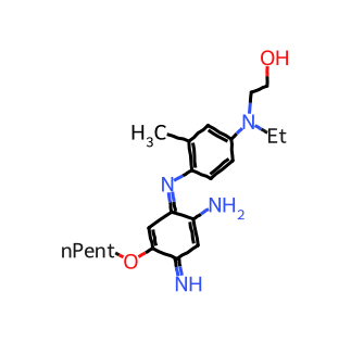 CCCCCOC1=CC(=Nc2ccc(N(CC)CCO)cc2C)C(N)=CC1=N